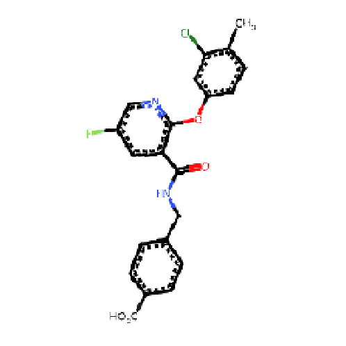 Cc1ccc(Oc2ncc(F)cc2C(=O)NCc2ccc(C(=O)O)cc2)cc1Cl